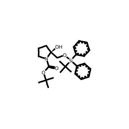 CC(C)(C)OC(=O)N1CCC[C@]1(O)CO[Si](c1ccccc1)(c1ccccc1)C(C)(C)C